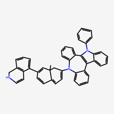 CC12C=C(c3cccc4c3C=CNC4)C=CC1=CC=C(N1c3ccccc3-c3c(n(-c4ccccc4)c4ccccc34)-c3ccccc31)C2